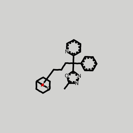 Cc1nnc(C(CCCN2CC3CCC(CC3)C2)(c2ccccc2)c2ccccn2)o1